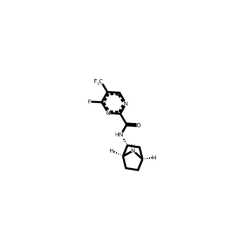 O=C(N[C@@H]1C[C@H]2CC[C@@H]1N2)c1ncc(C(F)(F)F)c(F)n1